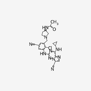 CC(=O)N[C@@H]1CCN(Cc2cc(C#N)cc(Nc3nc(NC4CC4)c4ncc(C#N)n4n3)c2Cl)C1